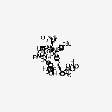 CCN1CC[C@H]2CC[C@@H](C(=O)N[C@@H](CCn3ccnc3[N+](=O)[O-])C(=O)N[C@@H](Cc3ccc(C(C)(C)C)cc3)C(=O)N3CCC(CCC#Cc4cccc5c4CN(C4CCC(=O)NC4=O)C5=O)CC3)N2C(=O)[C@@H](NC(=O)c2cc3cc(C(F)(F)P(=O)(O)O)ccc3s2)C1